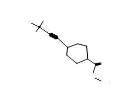 COC(=O)C1CCC(C#CC(C)(C)O)CC1